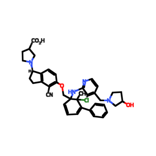 CC1(Cl)C(c2ccccc2)=CC=CC1(COc1ccc2c(c1C#N)CC[C@H]2N1CCC(C(=O)O)C1)Nc1cc(CN2CCC(O)C2)ccn1